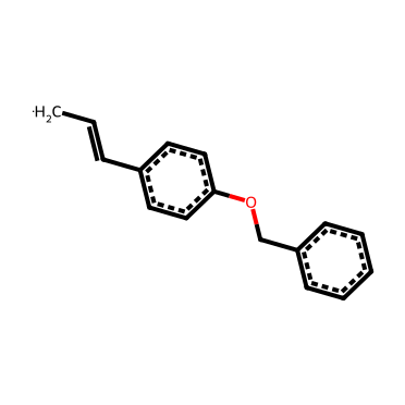 [CH2]C=Cc1ccc(OCc2ccccc2)cc1